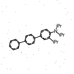 CC(C)c1cc(-c2ccc(-c3ccccc3)cc2)ccc1N(C(C)C)C(C)C